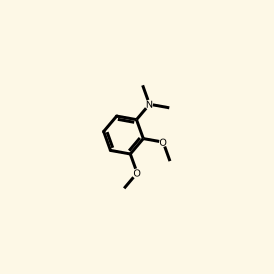 COc1cccc(N(C)C)c1OC